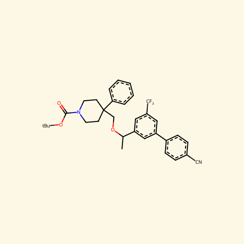 CC(OCC1(c2ccccc2)CCN(C(=O)OC(C)(C)C)CC1)c1cc(-c2ccc(C#N)cc2)cc(C(F)(F)F)c1